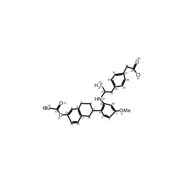 COc1ccc(C2CCc3cc(OC(=O)C(C)(C)C)ccc3C2)c(NC(C)Cc2ccc(CC(=O)Cl)cc2)c1